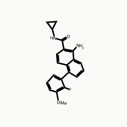 COc1cccc(-c2cccc3c(N)c(C(=O)NC4CC4)ccc23)c1F